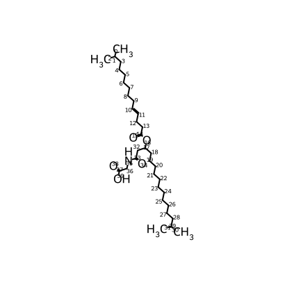 CC(C)CCCCCCCC=CCCC(=O)OC(CCCCCCCCCCCC(C)C)CC(=O)NCC(=O)O